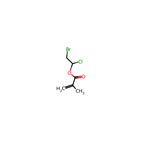 C=C(C)C(=O)OC(Cl)CBr